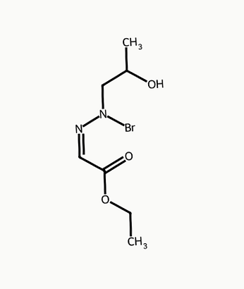 CCOC(=O)/C=N\N(Br)CC(C)O